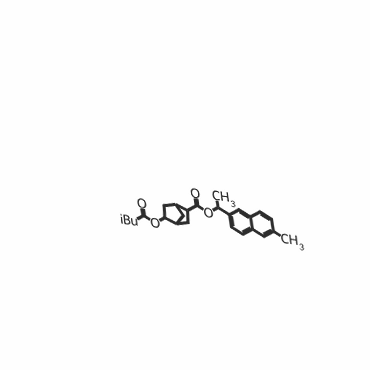 CCC(C)C(=O)OC1CC2CC1CC2C(=O)OC(C)c1ccc2cc(C)ccc2c1